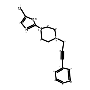 Clc1cnc(N2CCN(CC#Cc3ccccc3)CC2)s1